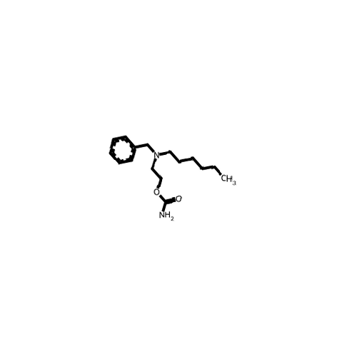 CCCCCCN(CCOC(N)=O)Cc1ccccc1